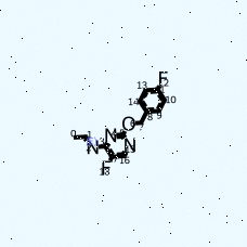 C/C=N/c1nc(OCc2ccc(F)cc2)ncc1F